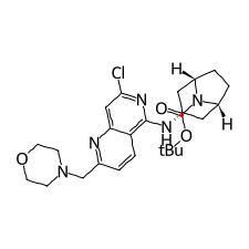 CC(C)(C)OC(=O)N1[C@@H]2CC[C@H]1C[C@@H](Nc1nc(Cl)cc3nc(CN4CCOCC4)ccc13)C2